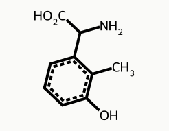 Cc1c(O)cccc1C(N)C(=O)O